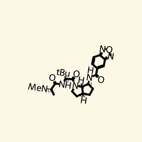 CN[C@@H](C)C(=O)N[C@H](C(=O)N1CC[C@H]2CC[C@H](NC(=O)c3ccc4nonc4c3)[C@H]21)C(C)(C)C